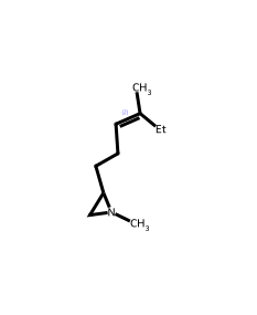 CC/C(C)=C\CCC1CN1C